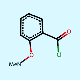 CNOc1ccccc1C(=O)Cl